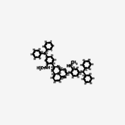 CNc1cc(N(c2ccccc2)c2ccccc2)ccc1C1=NC2=CC=CC3=NC(c4ccc(C(c5ccccc5)c5ccccc5)cc4NC)=NC(=N1)N23